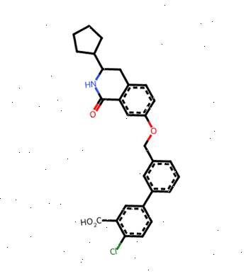 O=C(O)c1cc(-c2cccc(COc3ccc4c(c3)C(=O)NC(C3CCCC3)C4)c2)ccc1Cl